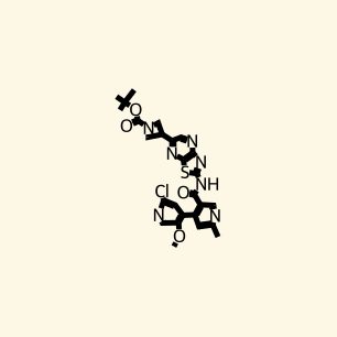 COc1cnc(Cl)cc1-c1cc(C)ncc1C(=O)Nc1nc2ncc(C3CN(C(=O)OC(C)(C)C)C3)nc2s1